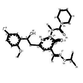 COc1ccc(F)cc1C(O)Cc1cc(/C(C)=N/OC(C)C)c(=O)n(N(C)C(=O)N2CCCCC2)n1